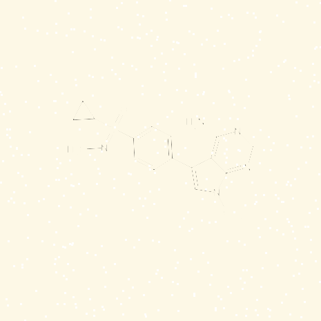 CN=S(=O)(c1ccc(-c2cn(C)c3ncnc(N)c23)cc1)C1CC1